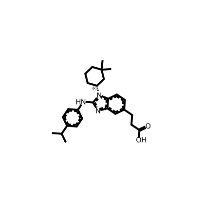 CC(C)c1ccc(Nc2nc3cc(CCC(=O)O)ccc3n2[C@@H]2CCCC(C)(C)C2)cc1